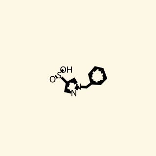 O=S(O)c1cnn(Cc2ccccc2)c1